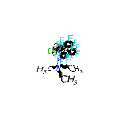 CCCC[NH+](CCCC)CCCC.C[Si](C)(Cl)c1c(F)c(F)c([B-](c2c(F)c(F)c(F)c(F)c2F)(c2c(F)c(F)c(F)c(F)c2F)c2c(F)c(F)c(F)c(F)c2F)c(F)c1F